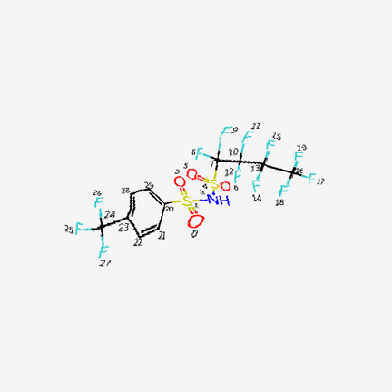 O=S(=O)(NS(=O)(=O)C(F)(F)C(F)(F)C(F)(F)C(F)(F)F)c1ccc(C(F)(F)F)cc1